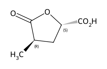 C[C@@H]1C[C@@H](C(=O)O)OC1=O